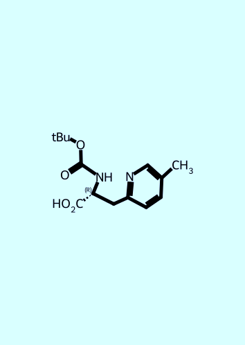 Cc1ccc(C[C@@H](NC(=O)OC(C)(C)C)C(=O)O)nc1